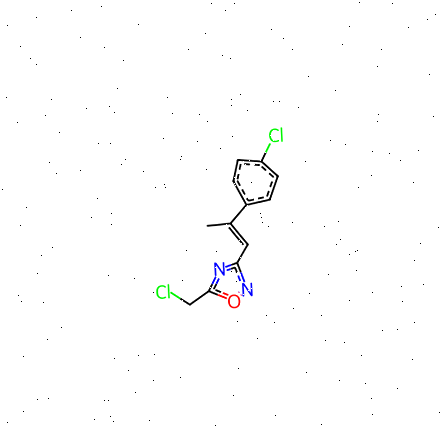 CC(=Cc1noc(CCl)n1)c1ccc(Cl)cc1